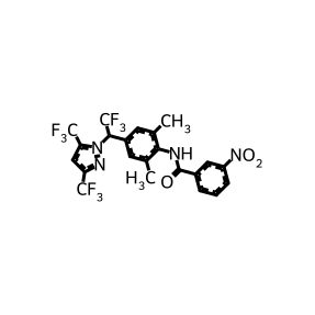 Cc1cc(C(n2nc(C(F)(F)F)cc2C(F)(F)F)C(F)(F)F)cc(C)c1NC(=O)c1cccc([N+](=O)[O-])c1